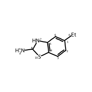 CCc1ccc2c(c1)NC(N)S2